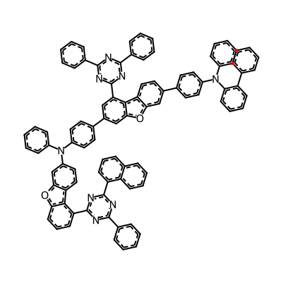 c1ccc(-c2nc(-c3ccccc3)nc(-c3cc(-c4ccc(N(c5ccccc5)c5ccc6c(c5)oc5cccc(-c7nc(-c8ccccc8)nc(-c8cccc9ccccc89)n7)c56)cc4)cc4oc5cc(-c6ccc(N(c7ccccc7)c7ccccc7-c7ccccc7)cc6)ccc5c34)n2)cc1